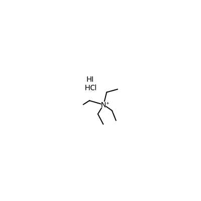 CC[N+](CC)(CC)CC.Cl.I